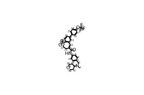 CN(Cc1ccc(NC(=O)C2=Cc3cc(-c4ccc(OC(F)(F)F)cc4)ccc3S(=O)(=O)CC2)cc1)C1CCOCC1